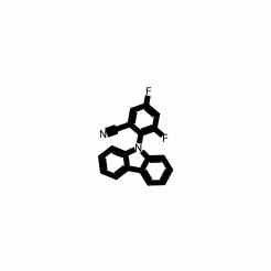 N#Cc1cc(F)cc(F)c1-n1c2ccccc2c2ccccc21